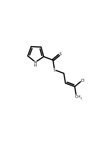 CC(Cl)=CCSC(=S)c1ccc[nH]1